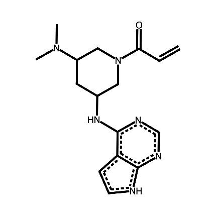 C=CC(=O)N1CC(Nc2ncnc3[nH]ccc23)CC(N(C)C)C1